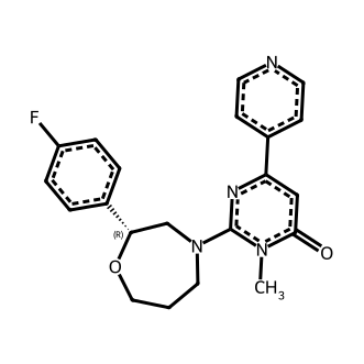 Cn1c(N2CCCO[C@H](c3ccc(F)cc3)C2)nc(-c2ccncc2)cc1=O